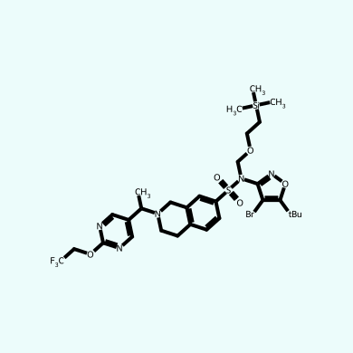 CC(c1cnc(OCC(F)(F)F)nc1)N1CCc2ccc(S(=O)(=O)N(COCC[Si](C)(C)C)c3noc(C(C)(C)C)c3Br)cc2C1